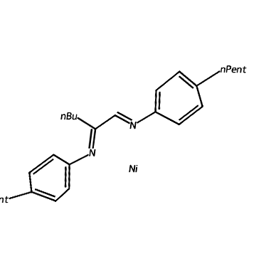 CCCCCc1ccc(N=CC(CCCC)=Nc2ccc(CCCCC)cc2)cc1.[Ni]